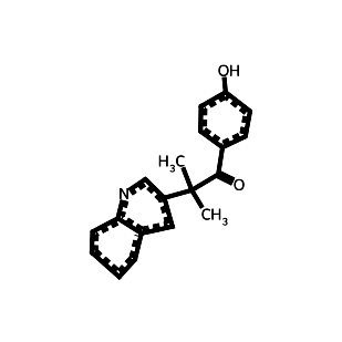 CC(C)(C(=O)c1ccc(O)cc1)c1cnc2ccccc2c1